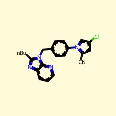 CCCCc1nc2cccnc2n1Cc1ccc(-n2cc(Cl)cc2C#N)cc1